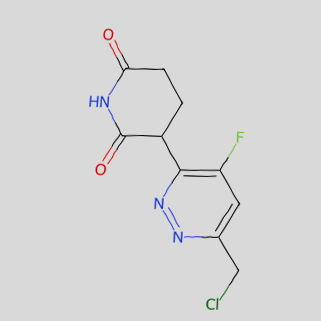 O=C1CCC(c2nnc(CCl)cc2F)C(=O)N1